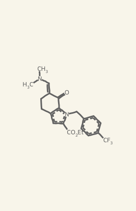 CCOC(=O)c1cc2c(n1Cc1ccc(C(F)(F)F)cc1)C(=O)C(=CN(C)C)CC2